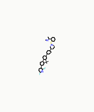 C=NC(=C)c1ccccc1SN1C=C(c2ccc(-c3ccc4c(c3)C(C)(C)c3cc(-c5ccc(F)nc5F)ccc3-4)cc2)C=CC1